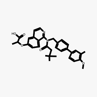 COc1ccc(-c2ccc(CN(C(=O)CC(C)(C)C)c3nccc4cc(OC(C)C(=O)O)ccc34)cc2)cc1C